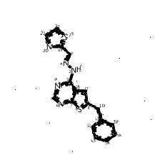 C(=N\Nc1ncnc2sc(Cc3ccccc3)cc12)/c1nccs1